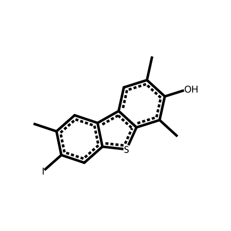 Cc1cc2c(cc1I)sc1c(C)c(O)c(C)cc12